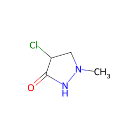 CN1CC(Cl)C(=O)N1